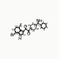 N=C(c1ccccc1)N1CCN(C(=O)C(=O)c2c[nH]c3c(Br)ccc(F)c23)CC1